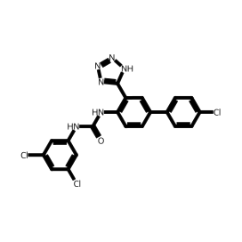 O=C(Nc1cc(Cl)cc(Cl)c1)Nc1ccc(-c2ccc(Cl)cc2)cc1-c1nnn[nH]1